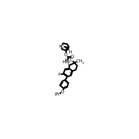 CC(C)Oc1ccc(-c2cc3c(cc2F)[C@H](NC(=O)O[C@@H]2CN4CCC2CC4)C(C)(C)CC3)cc1